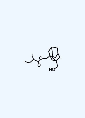 CCC(I)C(=O)OCC12CC3CC(CC(CO)(C3)C1)C2